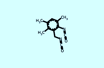 Cc1cc(C)c(N=C=O)c(CN=C=O)c1C